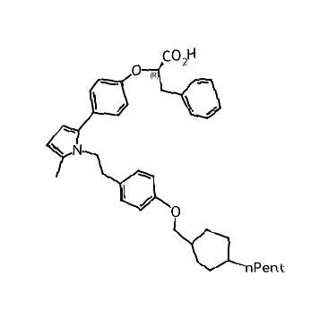 CCCCCC1CCC(COc2ccc(CCn3c(C)ccc3-c3ccc(O[C@H](Cc4ccccc4)C(=O)O)cc3)cc2)CC1